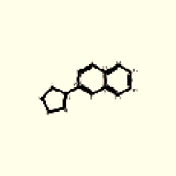 [c]1cc(C2CCCC2)cc2ccccc12